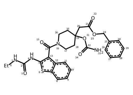 CCNC(=O)Nc1sc2ccccc2c1C(=O)N1CCC(CC(=O)OCc2ccccc2)(OC(N)=O)CC1